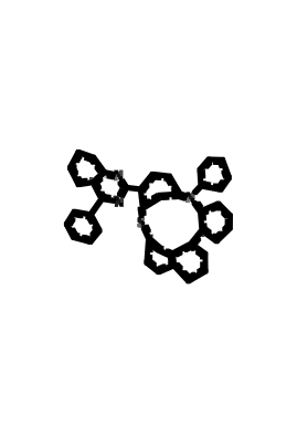 c1ccc(-c2nc(-c3ccc4cc3sc3ccc5cccc(c5c3)c3ccccc3n4-c3ccccc3)nc3ccccc23)cc1